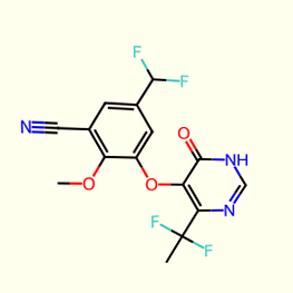 COc1c(C#N)cc(C(F)F)cc1Oc1c(C(C)(F)F)nc[nH]c1=O